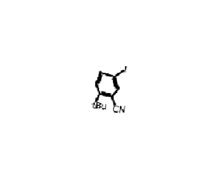 CC(C)(C)c1ccc(I)cc1C#N